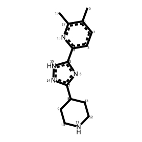 Cc1ccc(-c2nc(C3CCNCC3)n[nH]2)nc1C